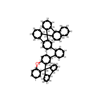 c1ccc2c(c1)Oc1ccc(-c3ccccc3-c3ccc4c(c3)C3(c5ccccc5-4)c4ccccc4-c4c3ccc3ccccc43)cc1C21c2ccccc2-c2ccccc21